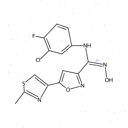 Cc1nc(-c2cc(/C(=N\O)Nc3ccc(F)c(Cl)c3)no2)cs1